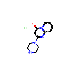 Cl.O=c1cc(N2CCNCC2)nc2ccccn12